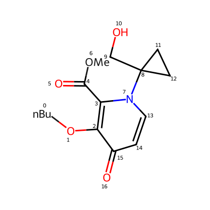 CCCCOc1c(C(=O)OC)n(C2(CO)CC2)ccc1=O